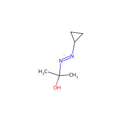 CC(C)(O)/N=N/C1CC1